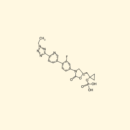 CCn1nnc(-c2ccc(-c3ccc(N4C[C@@H](CC5(OP(=O)(O)O)CC5)OC4=O)cc3F)cn2)n1